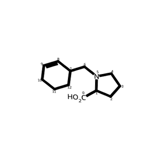 O=C(O)C1CCCN1CC1C=CCCC1